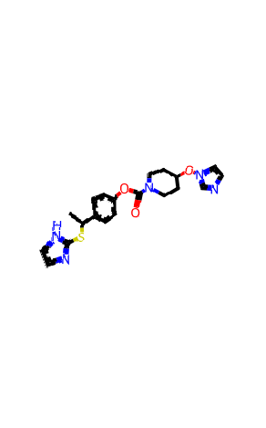 CC(Sc1ncc[nH]1)c1ccc(OC(=O)N2CCC(On3ccnc3)CC2)cc1